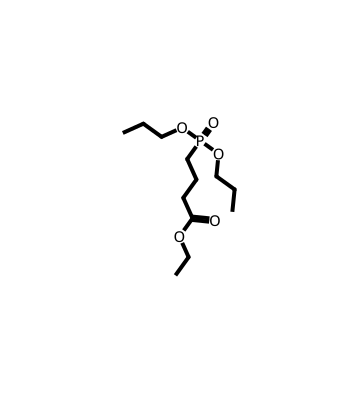 CCCOP(=O)(CCCC(=O)OCC)OCCC